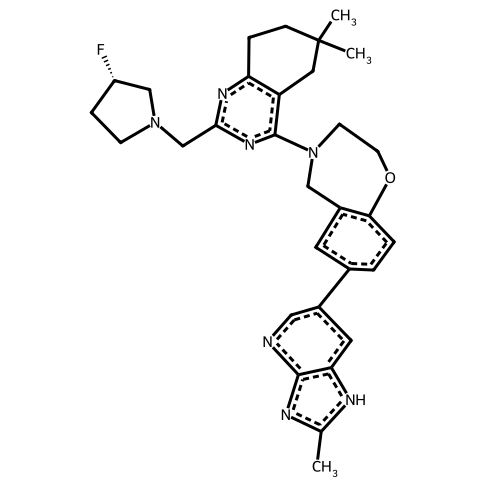 Cc1nc2ncc(-c3ccc4c(c3)CN(c3nc(CN5CC[C@H](F)C5)nc5c3CC(C)(C)CC5)CCO4)cc2[nH]1